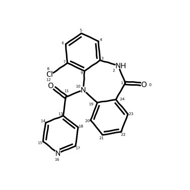 O=C1Nc2cccc(Cl)c2N(C(=O)c2ccncc2)c2ccccc21